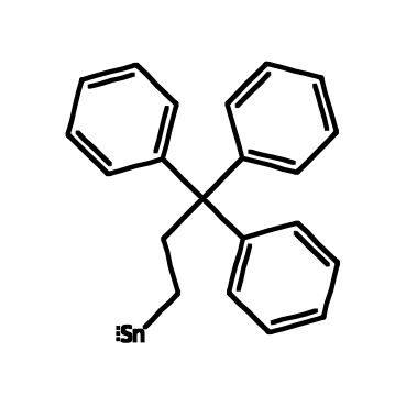 [Sn][CH2]CC(c1ccccc1)(c1ccccc1)c1ccccc1